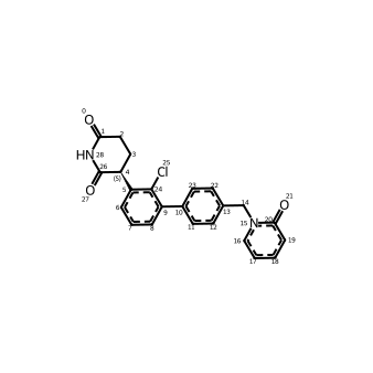 O=C1CC[C@@H](c2cccc(-c3ccc(Cn4ccccc4=O)cc3)c2Cl)C(=O)N1